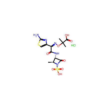 C[C@H]1[C@H](NC(=O)C(=NOC(C)(C)C(=O)O)c2csc(N)n2)C(=O)N1S(=O)(=O)O.Cl